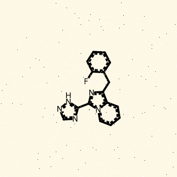 Fc1ccccc1Cc1nc(-c2ncn[nH]2)n2ccccc12